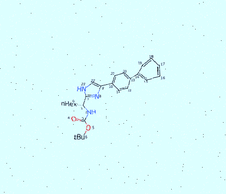 CCCCCC[C@@H](NC(=O)OC(C)(C)C)c1nc(-c2ccc(-c3ccccc3)cc2)c[nH]1